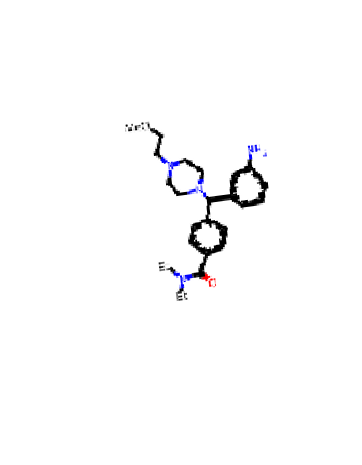 CCN(CC)C(=O)c1ccc(C(c2cccc(N)c2)N2CCN(CCOC)CC2)cc1